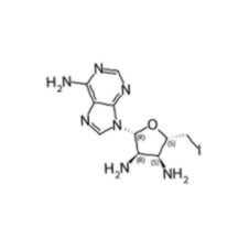 Nc1ncnc2c1ncn2[C@@H]1O[C@H](CI)[C@@H](N)[C@H]1N